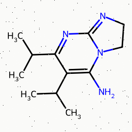 CC(C)C1=NC2=NCCN2C(N)=C1C(C)C